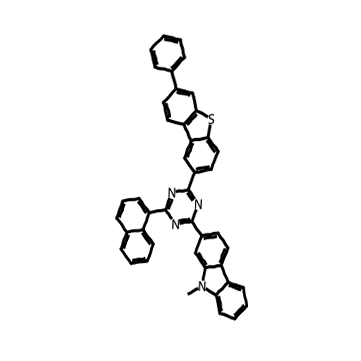 Cn1c2ccccc2c2ccc(-c3nc(-c4ccc5sc6cc(-c7ccccc7)ccc6c5c4)nc(-c4cccc5ccccc45)n3)cc21